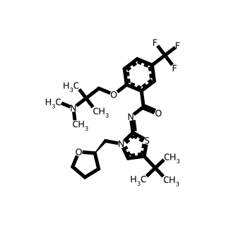 CN(C)C(C)(C)COc1ccc(C(F)(F)F)cc1C(=O)/N=c1\sc(C(C)(C)C)cn1C[C@H]1CCCO1